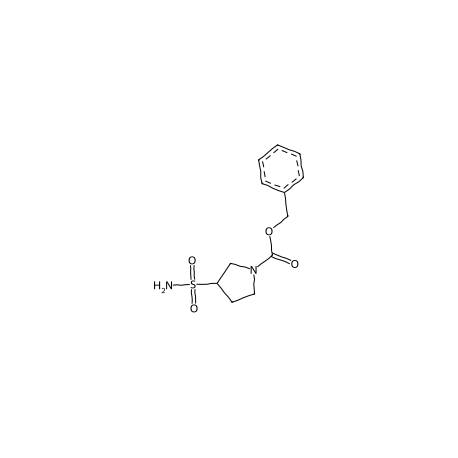 NS(=O)(=O)C1CCN(C(=O)OCc2ccccc2)C1